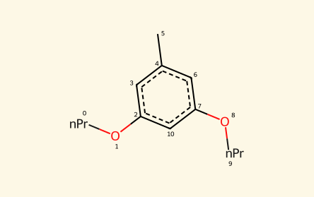 CCCOc1cc(C)cc(OCCC)c1